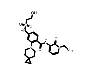 O=C(Nc1cccn(CC(F)(F)F)c1=O)c1ccc(NS(=O)(=O)CCO)cc1N1CCC2(CC1)CC2